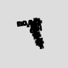 CCOC(=O)n1nc(NC(=O)N2CC=C(c3ccc(F)cc3)CC2)c2ccccc21